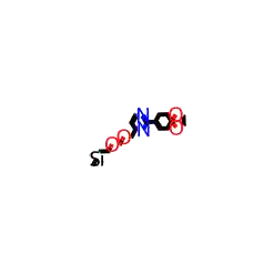 C[Si](C)(C)CCOCOCc1ccnc(C2=CCC3(CC2)OCCO3)n1